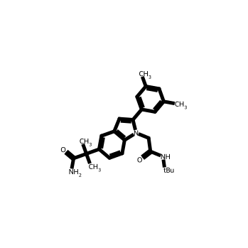 Cc1cc(C)cc(-c2cc3cc(C(C)(C)C(N)=O)ccc3n2CC(=O)NC(C)(C)C)c1